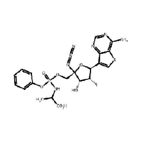 CC(NP(=O)(OC[C@@]1(N=[N+]=[N-])O[C@@H](c2csc3c(N)ncnc23)[C@H](F)[C@@H]1O)Oc1ccccc1)C(=O)O